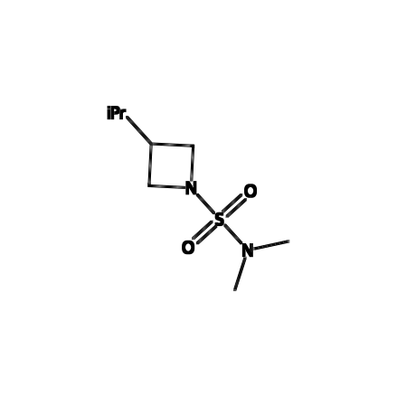 CC(C)C1CN(S(=O)(=O)N(C)C)C1